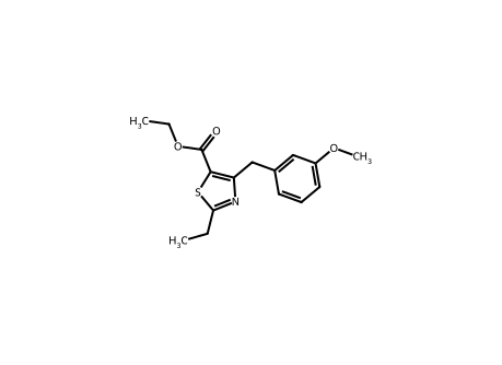 CCOC(=O)c1sc(CC)nc1Cc1cccc(OC)c1